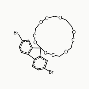 Brc1ccc2c(c1)C1(OCCOCCOCCOCCOCCO1)c1cc(Br)ccc1-2